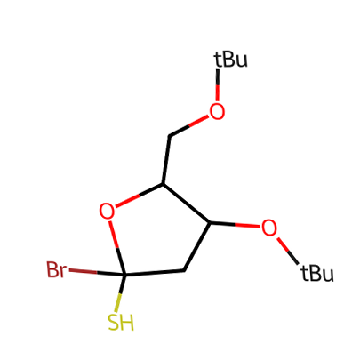 CC(C)(C)OCC1OC(S)(Br)CC1OC(C)(C)C